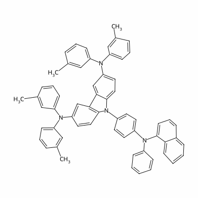 Cc1cccc(N(c2cccc(C)c2)c2ccc3c(c2)c2cc(N(c4cccc(C)c4)c4cccc(C)c4)ccc2n3-c2ccc(N(c3ccccc3)c3cccc4ccccc34)cc2)c1